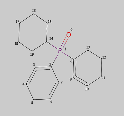 O=P(C1=C=CCC=C1)(C1=C=CCCC1)C1CCCCC1